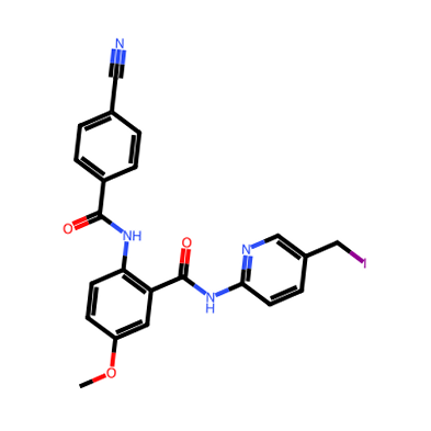 COc1ccc(NC(=O)c2ccc(C#N)cc2)c(C(=O)Nc2ccc(CI)cn2)c1